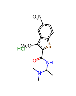 COc1c(C(=O)NC(C)N(C)C)sc2ccc([N+](=O)[O-])cc12.Cl